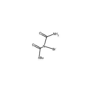 CCCCC(=O)N(Br)C(N)=O